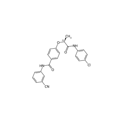 C[C@H](Oc1ccc(C(=O)Nc2cccc(C#N)c2)cc1)C(=O)Nc1ccc(Cl)cc1